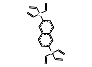 C=C[Si](C=C)(C=C)c1ccc2cc([Si](C=C)(C=C)C=C)ccc2c1